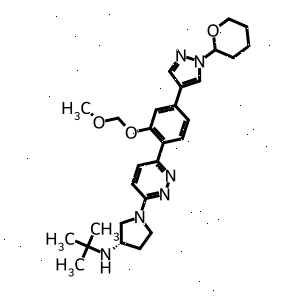 COCOc1cc(-c2cnn(C3CCCCO3)c2)ccc1-c1ccc(N2CC[C@H](NC(C)(C)C)C2)nn1